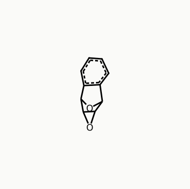 c1ccc2c(c1)C1OC2C2OC12